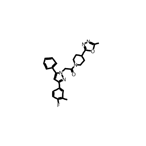 Cc1nnc(C2CCN(C(=O)Cn3nc(-c4ccc(F)c(C)c4)cc3-c3ccccc3)CC2)o1